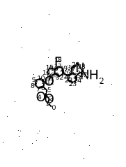 CCOC(=O)Cc1ccccc1OC1CCc2c(F)cc(-c3cccc4c(N)nccc34)cc21